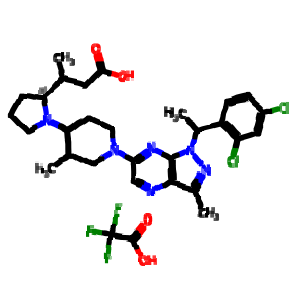 Cc1nn(C(C)c2ccc(Cl)cc2Cl)c2nc(N3CCC(N4CCC[C@H]4C(C)CC(=O)O)C(C)C3)cnc12.O=C(O)C(F)(F)F